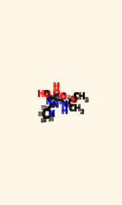 COCC(C)NC(=O)c1nc(-c2ccccn2)nc(O)c1O